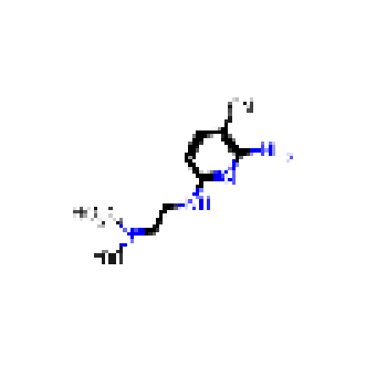 CC(C)(C)N(CCNc1ccc(C#N)c(N)n1)C(=O)O